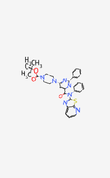 CC(C)(C)OC(=O)N1CCN(c2cc(C(=O)N(c3ccccc3)c3nc4cccnc4s3)nc(-c3ccccc3)n2)CC1